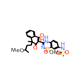 COC(C)CCC1(C)C(=O)C(C2=NP(=O)(OC)c3cc(NS(C)(=O)=O)ccc3N2)=C(O)c2ccccc21